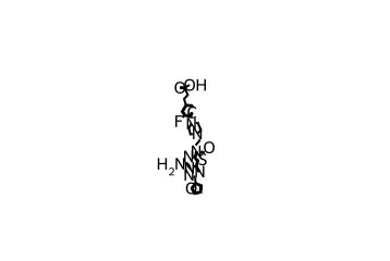 Nc1nc2c(sc(=O)n2CCN2CCN(c3ccc(CCC(=O)O)cc3F)CC2)c2nc(-c3ccco3)nn12